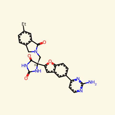 CCc1ccc2c(c1)C(=O)N(C[C@@]1(c3cc4cc(-c5ccnc(N)n5)ccc4o3)NC(=O)NC1=O)C2